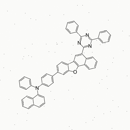 c1ccc(-c2nc(-c3ccccc3)nc(-c3cc4c5ccc(-c6ccc(N(c7ccccc7)c7cccc8ccccc78)cc6)cc5oc4c4ccccc34)n2)cc1